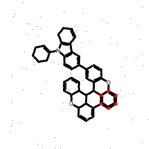 C1=CCCC(C2=CC=CC3OC4C=CC=CC4C(C4c5ccccc5Oc5ccc(-c6ccc7c(c6)c6c(n7C7=CCCCC7)CCC=C6)cc54)C23)=C1